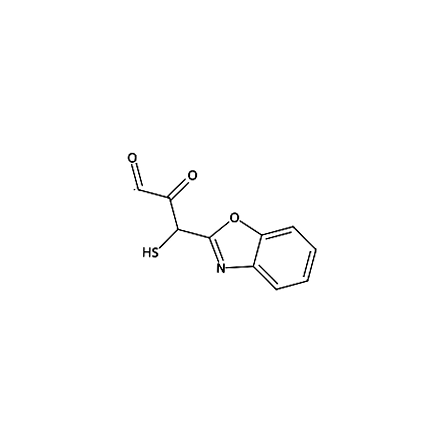 O=[C]C(=O)C(S)c1nc2ccccc2o1